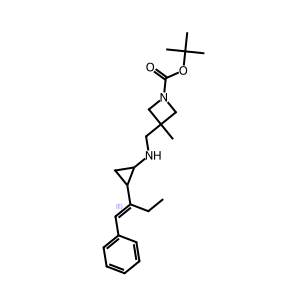 CC/C(=C\c1ccccc1)C1CC1NCC1(C)CN(C(=O)OC(C)(C)C)C1